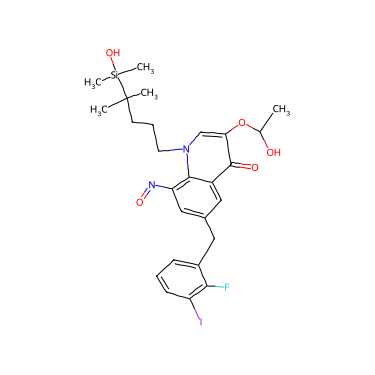 CC(O)Oc1cn(CCCC(C)(C)[Si](C)(C)O)c2c(N=O)cc(Cc3cccc(I)c3F)cc2c1=O